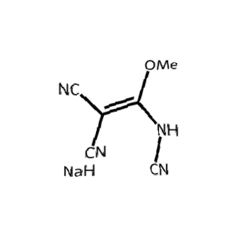 COC(NC#N)=C(C#N)C#N.[NaH]